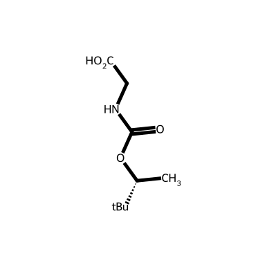 C[C@@H](OC(=O)NCC(=O)O)C(C)(C)C